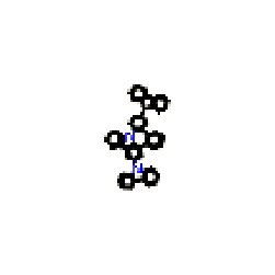 c1ccc2c(c1)-c1cc(C3c4ccccc4-c4ccccc43)ccc1-n1c3ccccc3c3cc(-n4c5ccccc5c5ccccc54)cc-2c31